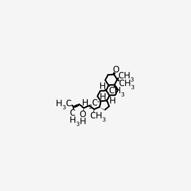 CC(C)=C[C@@H](O)C[C@@H](C)[C@H]1CC[C@H]2[C@@H]3CC=C4C(C)(C)C(=O)CC[C@]4(C)[C@H]3CC[C@]12C